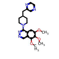 COc1cc2c(N3CCC(Cc4cnccn4)CC3)nncc2c(OC)c1OC